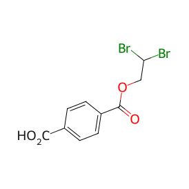 O=C(O)c1ccc(C(=O)OCC(Br)Br)cc1